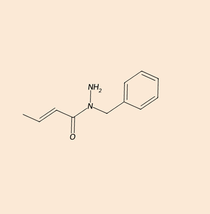 CC=CC(=O)N(N)Cc1ccccc1